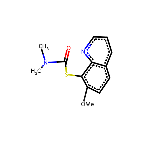 COc1ccc2cccnc2c1SC(=O)N(C)C